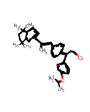 C/C(=C\c1ccc(C(C=O)c2ccc(OC(C)C)cc2)cc1)c1ccc2c(c1)C(C)(C)CCC2(C)C